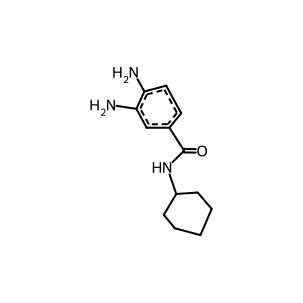 Nc1ccc(C(=O)NC2CCCCC2)cc1N